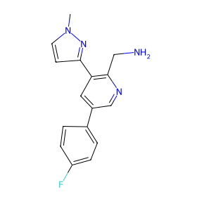 Cn1ccc(-c2cc(-c3ccc(F)cc3)cnc2CN)n1